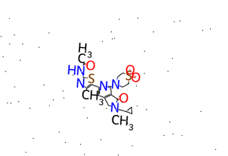 CC(=O)Nc1nc(C)c(-c2cc3c(c(N4CCS(=O)(=O)CC4)n2)C(=O)N([C@@H](C)C2CC2)C3)s1